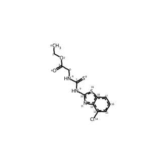 CCOC(=O)CNC(=S)Nc1nc2c(Cl)cccc2s1